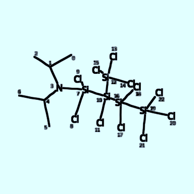 CC(C)N(C(C)C)[Si](Cl)(Cl)[Si](Cl)([Si](Cl)(Cl)Cl)[Si](Cl)(Cl)[Si](Cl)(Cl)Cl